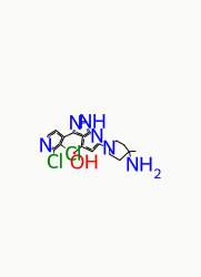 CC1(N)CCN(c2cc(CO)c3c(-c4ccnc(Cl)c4Cl)n[nH]c3n2)CC1